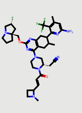 Cc1cc(N)nc(C2Cc3nc(OC[C@@]45CCCN4C[C@H](F)C5)nc(N4CCN(C(=O)/C=C/C5CCN5C)[C@@H](CC#N)C4)c3CC2C)c1C(F)(F)F